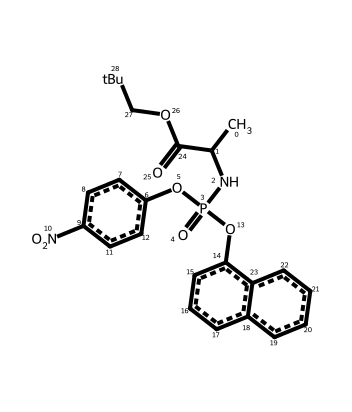 CC(NP(=O)(Oc1ccc([N+](=O)[O-])cc1)Oc1cccc2ccccc12)C(=O)OCC(C)(C)C